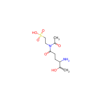 C=C(O)C(N)CCC(=O)N(CCS(=O)(=O)O)C(C)=O